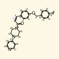 O=C(/C=C\c1ccc(OCc2ccc(F)cc2)cc1)N1CCN(c2ccncc2)CC1